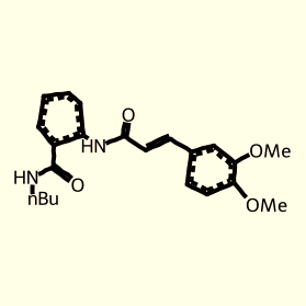 CCCCNC(=O)c1ccccc1NC(=O)C=Cc1ccc(OC)c(OC)c1